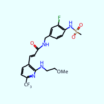 COCCNc1nc(C(F)(F)F)ccc1/C=C/C(=O)NCc1ccc(NS(C)(=O)=O)c(F)c1